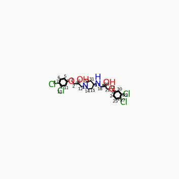 O[C@H](COc1ccc(Cl)c(Cl)c1)CN1CCC(NC[C@H](O)COc2ccc(Cl)c(Cl)c2)CC1